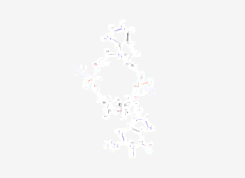 Nc1nc2c(ncn2[C@@H]2O[C@@H]3COP(=O)(S)OCCn4c(cc5cncnc54)COP(=O)(S)O[C@@H]2[C@@H]3F)c(=O)[nH]1